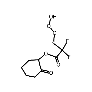 O=C1CCCCC1OC(=O)C(F)(F)SOOO